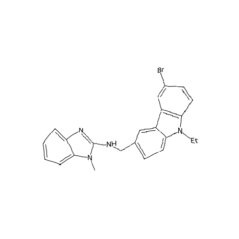 CCn1c2ccc(Br)cc2c2cc(CNc3nc4ccccc4n3C)ccc21